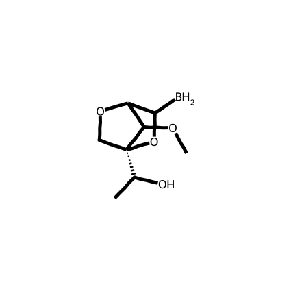 BC1O[C@@]2(C(C)O)COC1C2OC